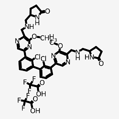 COc1nc(-c2cccc(-c3cccc(-c4cnc(CNCC5CCC(=O)N5)c(OC)n4)c3Cl)c2Cl)cnc1CNCC1CCC(=O)N1.O=C(O)C(F)(F)F.O=C(O)C(F)(F)F